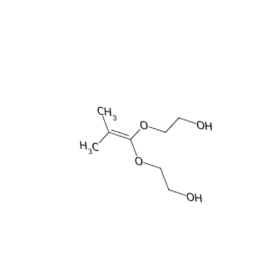 CC(C)=C(OCCO)OCCO